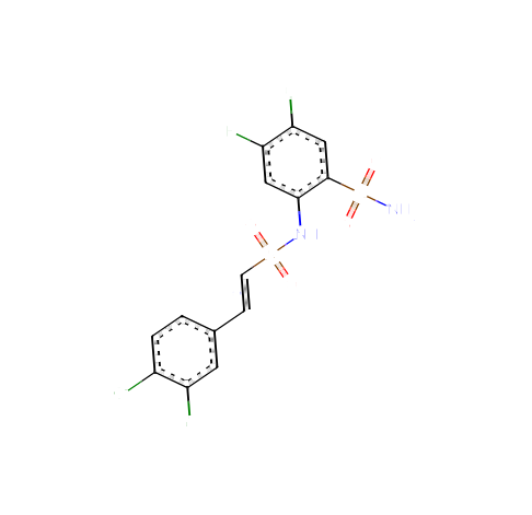 NS(=O)(=O)c1cc(Cl)c(F)cc1NS(=O)(=O)/C=C/c1ccc(Cl)c(Cl)c1